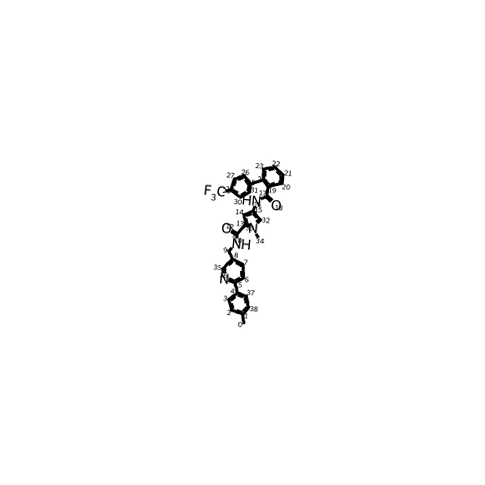 Cc1ccc(-c2ccc(CNC(=O)c3cc(NC(=O)c4ccccc4-c4ccc(C(F)(F)F)cc4)cn3C)cn2)cc1